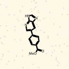 COC(=O)c1ccc(-c2cnc3[nH][c]nc3c2)cc1